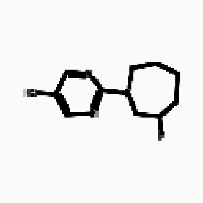 Oc1cnc(N2CCCCC(F)C2)nc1